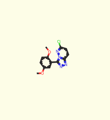 COc1ccc(OC)c(-c2nnc3ccc(Cl)nn23)c1